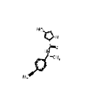 C#Cc1ccc([C@H](C)NC(=O)[C@@H]2C[C@@H](O)CN2)cc1